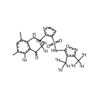 [2H]c1c(C)cc(C)c(NC(=O)c2sccc2S(=O)(=O)Nc2onc(C([2H])([2H])[2H])c2C([2H])([2H])[2H])c1C(=O)C([2H])([2H])[2H]